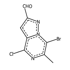 Cc1nc(Cl)c2cc(C=O)nn2c1Br